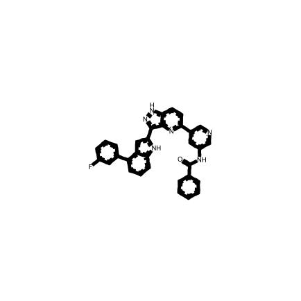 O=C(Nc1cncc(-c2ccc3[nH]nc(-c4cc5c(-c6cccc(F)c6)cccc5[nH]4)c3n2)c1)c1ccccc1